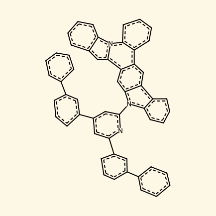 c1ccc(-c2cccc(-c3cc(-c4cccc(-c5ccccc5)c4)nc(-n4c5ccccc5c5cc6c7ccccc7n7c8ccccc8cc7c6cc54)c3)c2)cc1